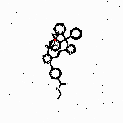 CCNC(=O)c1ccc(-n2nnc(C(=O)NC3CC3)c2/C=C/c2nccn2C(c2ccccc2)(c2ccccc2)c2ccccc2)cc1